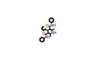 CC1=C(C(=O)Nc2ccccc2)C(c2cccs2)C(C(=O)Nc2ccccc2)=C(C)N1